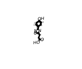 O=C(O)CCc1nc(-c2ccc(O)cc2)no1